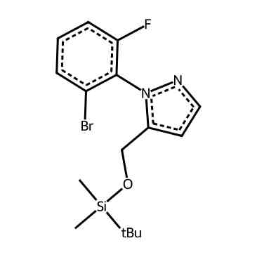 CC(C)(C)[Si](C)(C)OCc1ccnn1-c1c(F)cccc1Br